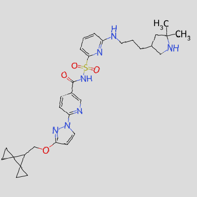 CC1(C)CC(CCCNc2cccc(S(=O)(=O)NC(=O)c3ccc(-n4ccc(OCC5C6(CC6)C56CC6)n4)nc3)n2)CN1